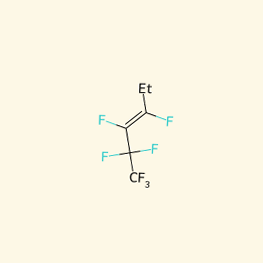 CCC(F)=C(F)C(F)(F)C(F)(F)F